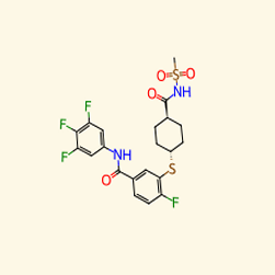 CS(=O)(=O)NC(=O)[C@H]1CC[C@H](Sc2cc(C(=O)Nc3cc(F)c(F)c(F)c3)ccc2F)CC1